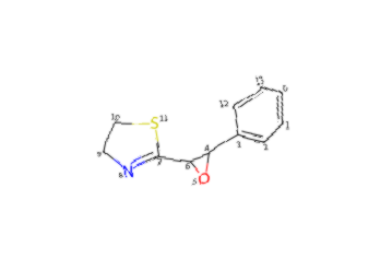 c1ccc(C2OC2C2=NCCS2)cc1